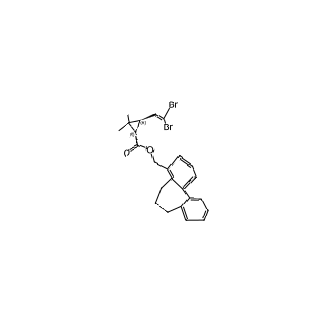 CC1(C)[C@H](C(=O)OCc2cccc3c2CCCc2ccccc2-3)[C@@H]1C=C(Br)Br